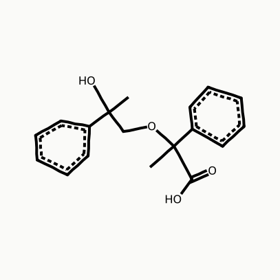 CC(O)(COC(C)(C(=O)O)c1ccccc1)c1ccccc1